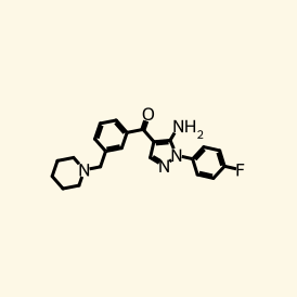 Nc1c(C(=O)c2cccc(CN3CCCCC3)c2)cnn1-c1ccc(F)cc1